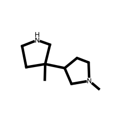 CN1CCC(C2(C)CCNC2)C1